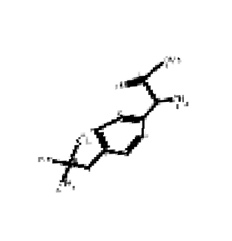 COC(=O)C(C)c1ccc(CC(C)(C)F)cc1